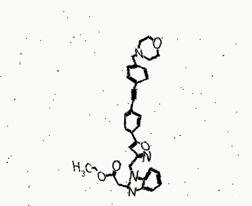 CCOC(=O)Cc1nc2ccccc2n1Cc1cc(-c2ccc(C#Cc3ccc(CN4CCOCC4)cc3)cc2)on1